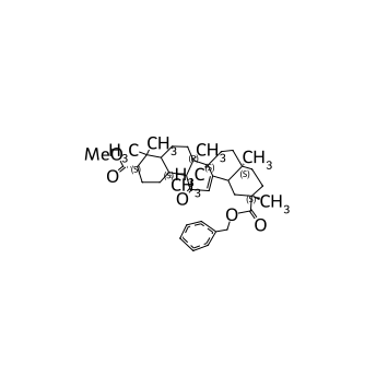 COC(=O)[C@H]1CC[C@@]2(C)C(CC[C@]3(C)C2C(=O)C=C2C4C[C@@](C)(C(=O)OCc5ccccc5)CC[C@]4(C)CC[C@]23C)C1(C)C